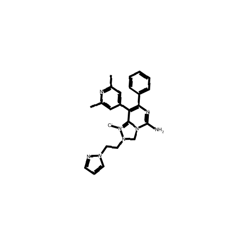 Cc1cc(C2=C(c3ccccc3)N=C(N)N3CN(CCn4cccn4)[N+]([O-])=C23)cc(C)n1